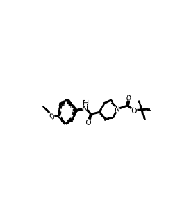 COc1ccc(NC(=O)C2CCN(C(=O)OC(C)(C)C)CC2)cc1